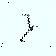 CCCCCCCCCCCCCCCCCCCN1C=CN(CCCCCC)C1CCCCCCCCCCCCCCCCCC